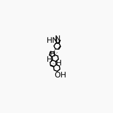 C[C@]12CC[C@H]3[C@@H](CC=C4C[C@@H](O)CC[C@@]43C)[C@@H]1CC[C@@H]2C1C=Cc2cn[nH]c2C1